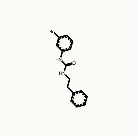 O=C(NCCc1ccccc1)Nc1cccc(Br)c1